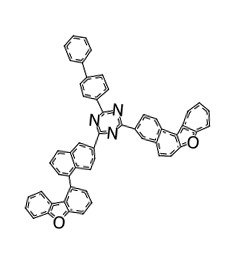 c1ccc(-c2ccc(-c3nc(-c4ccc5c(-c6cccc7oc8ccccc8c67)cccc5c4)nc(-c4ccc5c(ccc6oc7ccccc7c65)c4)n3)cc2)cc1